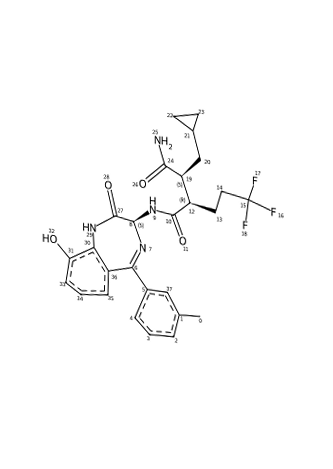 Cc1cccc(C2=N[C@H](NC(=O)[C@H](CCC(F)(F)F)[C@H](CC3CC3)C(N)=O)C(=O)Nc3c(O)cccc32)c1